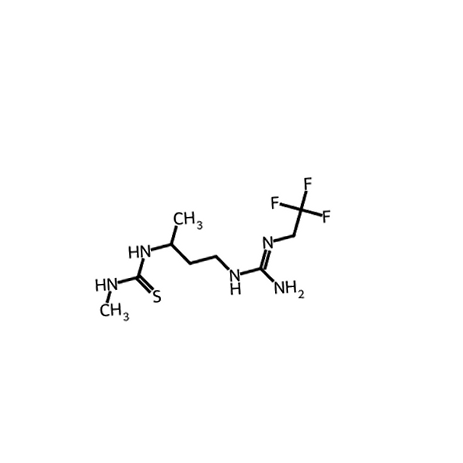 CNC(=S)NC(C)CCNC(N)=NCC(F)(F)F